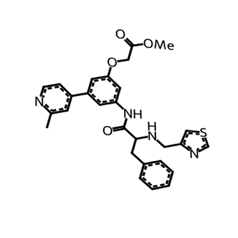 COC(=O)COc1cc(NC(=O)C(Cc2ccccc2)NCc2cscn2)cc(-c2ccnc(C)c2)c1